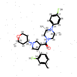 Cc1ccc([C@@H]2CN([C@@H]3CCO[C@@H](C)C3)CC2C(=O)N2C[C@@H](C)N(c3ccc(F)cc3)[C@@H](C)C2)c(F)c1